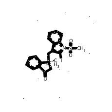 C[C@]1(Cc2c(I)n(S(C)(=O)=O)c3ccccc23)CC(=O)c2ccccc21